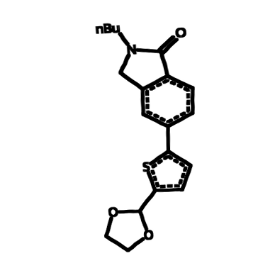 CCCCN1Cc2cc(-c3ccc(C4OCCO4)s3)ccc2C1=O